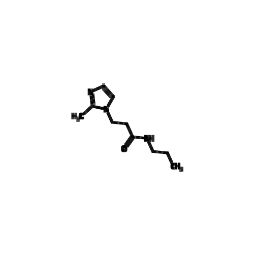 CCCNC(=O)CCn1c[c]nc1C